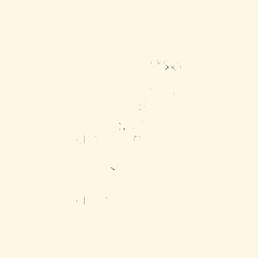 CC(C)(c1ccc2cc(C(=O)Nc3cc(Cl)cc(Oc4ccc(Cl)cc4)c3)sc2c1)S(C)(=O)=O